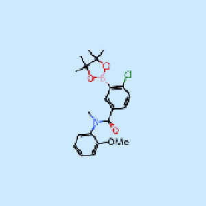 COc1ccccc1N(C)C(=O)c1ccc(Cl)c(B2OC(C)(C)C(C)(C)O2)c1